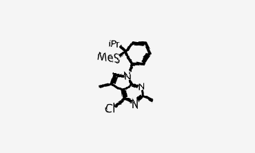 CSC1(C(C)C)C=CC=CC1n1cc(C)c2c(Cl)nc(C)nc21